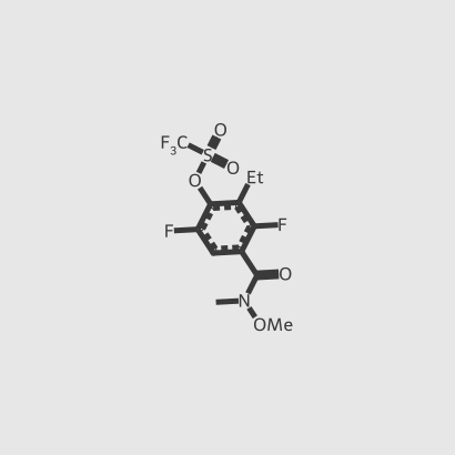 CCc1c(F)c(C(=O)N(C)OC)cc(F)c1OS(=O)(=O)C(F)(F)F